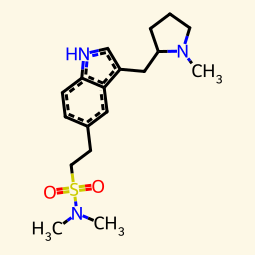 CN1CCCC1Cc1c[nH]c2ccc(CCS(=O)(=O)N(C)C)cc12